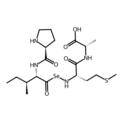 CC[C@H](C)[C@H](NC(=O)[C@@H]1CCCN1)C(=O)[Se]N[C@@H](CCSC)C(=O)N[C@@H](C)C(=O)O